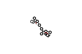 CCC1CC2CCCC(C2)C12c1ccccc1-c1ccc(-c3ccc(-c4ccc(N(c5ccc6c(c5)C5(c7ccccc7-6)C(C)CC6CC7CC75C6)c5ccccc5-c5ccccc5)cc4)cc3)cc12